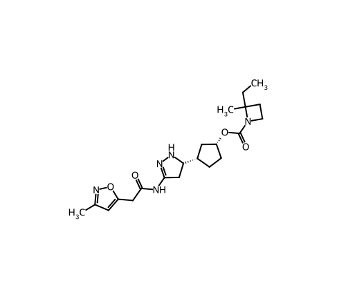 CCC1(C)CCN1C(=O)O[C@@H]1CC[C@H](C2CC(NC(=O)Cc3cc(C)no3)=NN2)C1